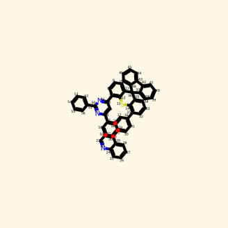 c1ccc(-c2cc(-c3cccc4c3Sc3c(-c5ccc(-c6ccnc7ccccc67)cc5)cccc3C43c4ccccc4-c4ccccc43)nc(-c3ccccc3)n2)cc1